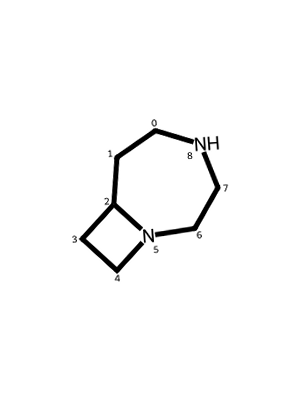 C1CC2CCN2CCN1